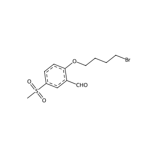 CS(=O)(=O)c1ccc(OCCCCBr)c(C=O)c1